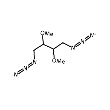 COC(CN=[N+]=[N-])C(CN=[N+]=[N-])OC